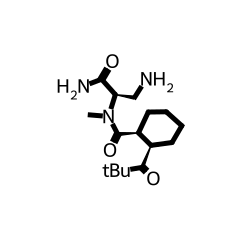 CN(C(=O)[C@H]1CCCC[C@H]1C(=O)C(C)(C)C)[C@H](CN)C(N)=O